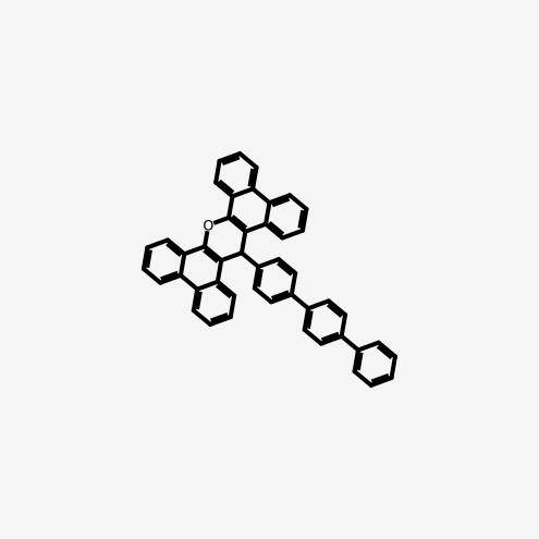 c1ccc(-c2ccc(-c3ccc(C4c5c(c6ccccc6c6ccccc56)Oc5c4c4ccccc4c4ccccc54)cc3)cc2)cc1